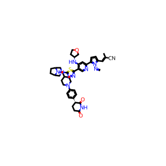 C=Nn1c(/C=C(\C)C#N)ccc1-c1cc(N[C@@H]2CCOC2)c(-c2nnc(N3CC4CCC(C3)N4CC3CCN(c4ccc([C@H]5CCC(=O)NC5=O)cc4)CC3)s2)cn1